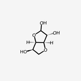 OC1O[C@H]2[C@H](OC[C@H]2O)[C@H]1O